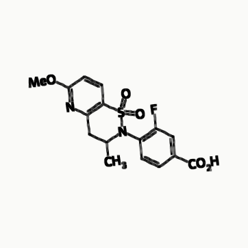 COc1ccc2c(n1)CC(C)N(c1ccc(C(=O)O)cc1F)S2(=O)=O